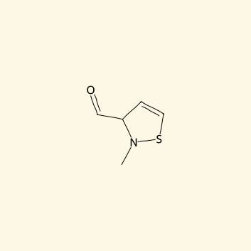 CN1SC=CC1C=O